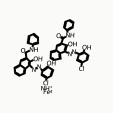 O=C(Nc1ccccc1)c1cc2ccccc2c(N=Nc2cc(Cl)ccc2O)c1O.O=C(Nc1ccccc1)c1cc2ccccc2c(N=Nc2cc(Cl)ccc2O)c1O.[Fe].[NH4+]